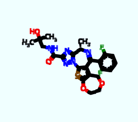 C[C@@H]1N=C(c2c(F)cccc2F)c2c(sc3c2COCCO3)-n2nc(C(=O)NCC(C)(C)O)nc21